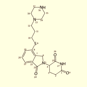 O=C1CCC(N2Cc3c(SCCCN4CCNCC4)cccc3C2=O)C(=O)N1